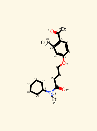 CCC(=O)c1ccc(OCCCC(=O)N(CC)C2CCCCC2)cc1[N+](=O)[O-]